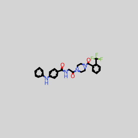 O=C(NCC(=O)N1CCN(C(=O)c2ccccc2C(F)(F)F)CC1)c1ccc(Nc2ccccc2)cc1